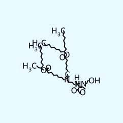 CCCCCCCCC(CCC)OC(=O)CCCCCCCN(CCCCCCCC(=O)OC(CCCCCCCC)CCCCCCCC)CCCNC1=C(NCCO)COCC1=O